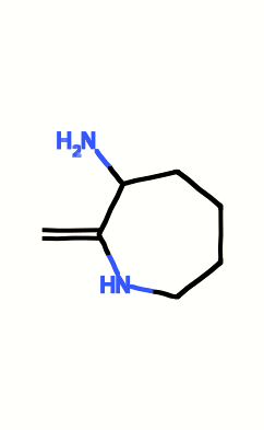 C=C1NCCCCC1N